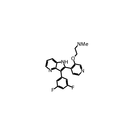 CNCCOc1cnccc1-c1[nH]c2cccnc2c1-c1cc(F)cc(F)c1